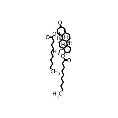 CCCCCCCCCC(=O)O.CCCCCCCCCC(=O)O[C@H]1CC[C@H]2[C@@H]3CCC4=CC(=O)CC[C@@H]4[C@H]3CC[C@]12C